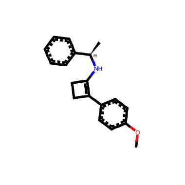 COc1ccc(C2=C(N[C@H](C)c3ccccc3)CC2)cc1